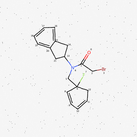 O=C(CBr)N(CC1(F)C=CC=CC1)C1Cc2ccccc2C1